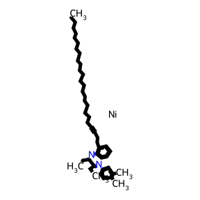 CCCCCCCCCCCCCCCCCCCCCCC#CCCc1ccccc1N=C(CC)C(CC)=Nc1ccc(C)c(C)c1.[Ni]